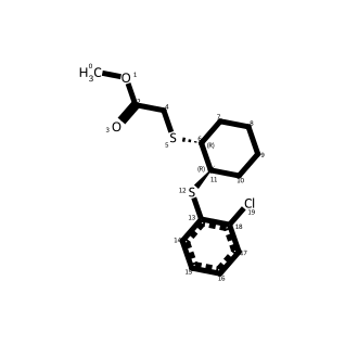 COC(=O)CS[C@@H]1CCCC[C@H]1Sc1ccccc1Cl